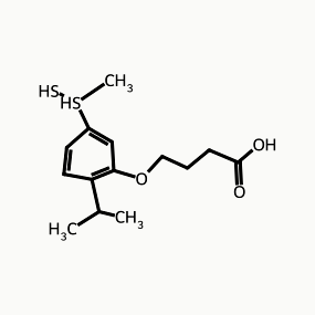 CC(C)c1ccc([SH](C)S)cc1OCCCC(=O)O